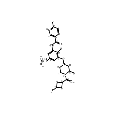 Cc1ccc(C(=O)Nc2cc(F)cc(CN3CCN(C(=O)C4CC(F)C4)C(C)C3)c2C)cn1.O=CO